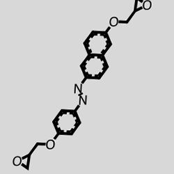 c1cc(OCC2CO2)ccc1/N=N/c1ccc2cc(OCC3CO3)ccc2c1